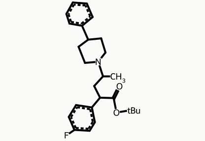 CC(CC(C(=O)OC(C)(C)C)c1ccc(F)cc1)N1CCC(c2ccccc2)CC1